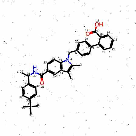 Cc1c(C)n(Cc2ccc(-c3ccccc3C(=O)O)cc2)c2ccc(C(=O)NC(C)c3ccc(C(C)(C)C)cc3)cc12